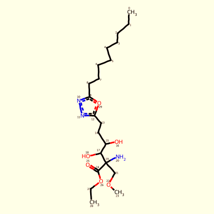 CCCCCCCCCc1nnc(CCC(O)C(O)C(N)(COC)C(=O)OCC)o1